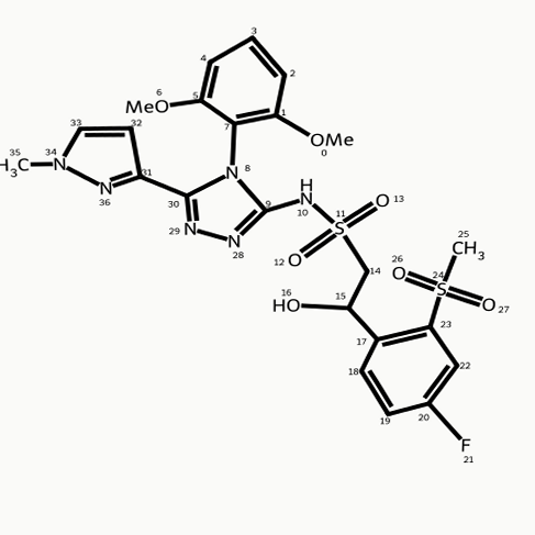 COc1cccc(OC)c1-n1c(NS(=O)(=O)CC(O)c2ccc(F)cc2S(C)(=O)=O)nnc1-c1ccn(C)n1